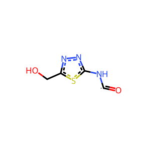 O=[C]Nc1nnc(CO)s1